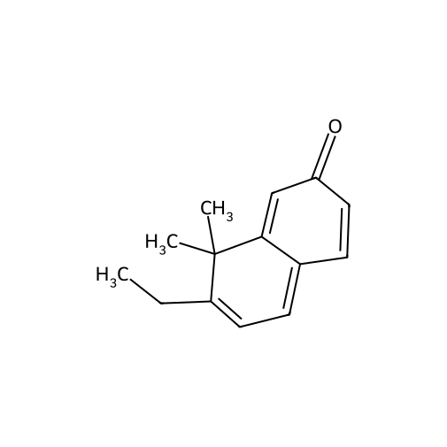 CCC1=CC=C2C=CC(=O)C=C2C1(C)C